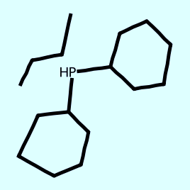 C1CCC(PC2CCCCC2)CC1.CCCC